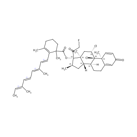 C/C=C(C)/C=C/C=C(C)/C=C/C1=C(C)CCCC1(C)C(=O)O[C@@]1(C(=O)CF)[C@H](C)C[C@H]2[C@@H]3CCC4=CC(=O)C=C[C@]4(C)[C@@]3(Cl)[C@@H](Cl)C[C@@]21C